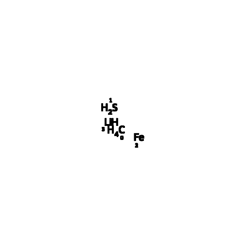 C.S.[Fe].[LiH]